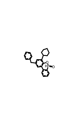 O=[PH]1Oc2c(cc(Cc3ccccc3)cc2C2CCCCC2)-c2ccccc21